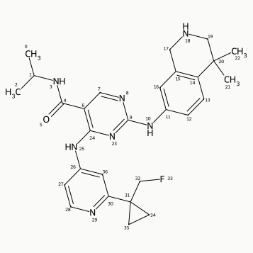 CC(C)NC(=O)c1cnc(Nc2ccc3c(c2)CNCC3(C)C)nc1Nc1ccnc(C2(CF)CC2)c1